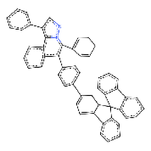 C1=CC(c2c(-c3ccc(C4=CC=C5c6ccccc6C6(c7ccccc7-c7ccccc76)C5C4)cc3)c3ccccc3c3c(-c4ccccc4)cnn23)=CCC1